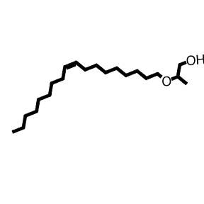 CCCCCCCC/C=C\CCCCCCCCOC(C)CO